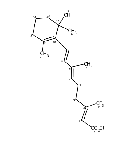 CCOC(=O)/C=C(/CC/C=C(C)/C=C/C1=C(C)CCCC1(C)C)C(F)(F)F